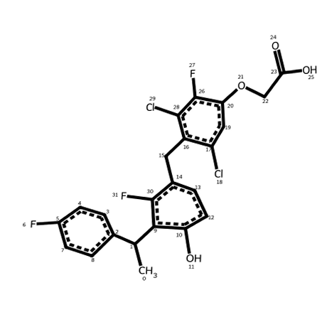 CC(c1ccc(F)cc1)c1c(O)ccc(Cc2c(Cl)cc(OCC(=O)O)c(F)c2Cl)c1F